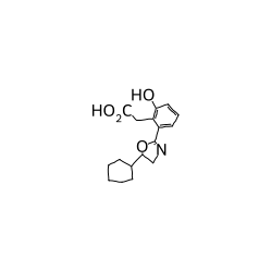 O=C(O)Cc1c(O)cccc1C1=NCC(C2CCCCC2)O1